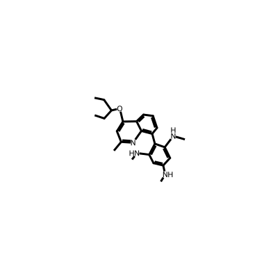 CCC(CC)Oc1cc(C)nc2c(-c3c(NC)cc(NC)cc3NC)cccc12